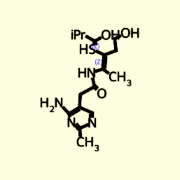 C/C(NC(=O)Cc1cnc(C)nc1N)=C(CCO)/[SH]=C(\O)C(C)C